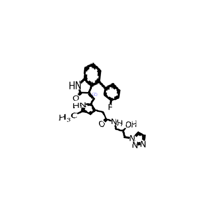 Cc1cc(CC(=O)NCC(O)Cn2ccnn2)c(/C=C2\C(=O)Nc3cccc(-c4cccc(F)c4)c32)[nH]1